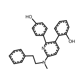 CN(CCc1ccccc1)c1ccc(-c2ccccc2O)c(-c2ccc(O)cc2)n1